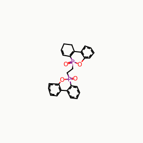 O=P1(CC[P@]2(=O)Oc3ccccc3C3=C2C=CCC3)Oc2ccccc2-c2ccccc21